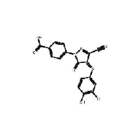 N#CC1=NN(c2ccc(C(=O)O)cc2)C(=O)C1=Nc1ccc(O)c(Cl)c1